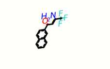 NC(=CC(=O)c1ccc2ccccc2c1)C(F)(F)F